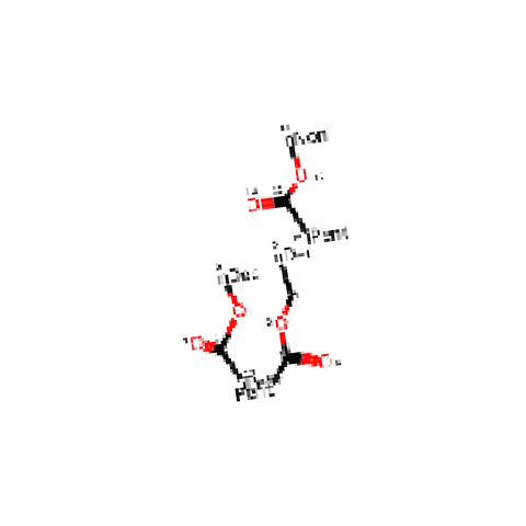 CCCCCCCCCCCOC(=O)C(C)CCC.CCCCCCCCCCOC(=O)C(C)CCC.CCCCCCCCCOC(=O)C(C)CCC